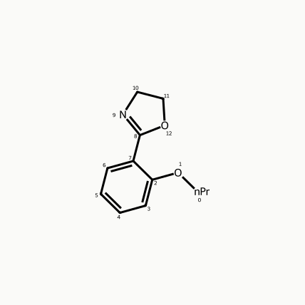 CCCOc1ccccc1C1=NCCO1